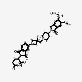 CC(C)Oc1cc2c(cc1NC=O)CN(C1CCN(CC3(F)CN(c4ccc5c(c4)C(=O)N(C4CCC(=O)NC4=O)C5=O)C3)CC1)C2=O